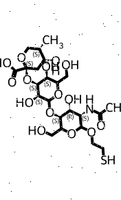 CC(=O)N[C@@H]1C(OCCS)OC(CO)[C@@H](OC2OC(CO)[C@H](O)[C@H](O[C@]3(C(=O)O)C[C@@H](O)[C@@H](C)CO3)[C@@H]2O)[C@@H]1O